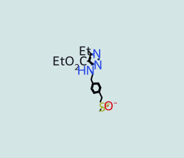 CCOC(=O)c1c(CC)ncnc1NCCc1ccc(CC[S+](C)[O-])cc1